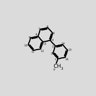 Cc1[c]c(-c2cccc3ccccc23)ccc1